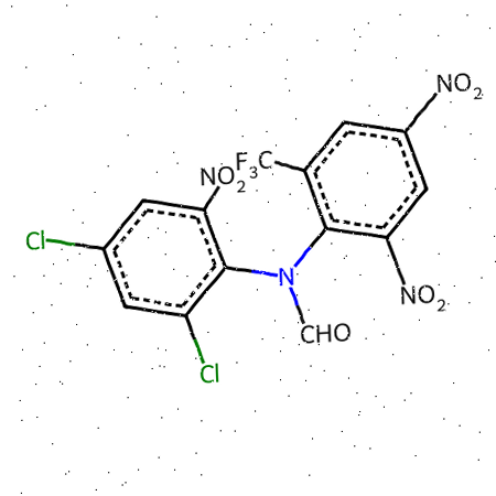 O=CN(c1c(Cl)cc(Cl)cc1[N+](=O)[O-])c1c([N+](=O)[O-])cc([N+](=O)[O-])cc1C(F)(F)F